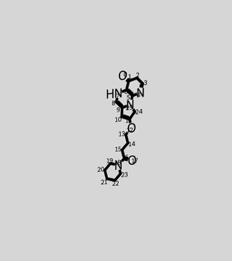 O=C1CC=NC2=C1NC=C1C=C(OCCCC(=O)N3CCCCC3)CN12